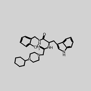 O=C(CN1CCN(C2CCCCC2)CC1)NC(Cc1c[nH]c2ccccc12)C(=O)NCc1ccccc1C(F)(F)F